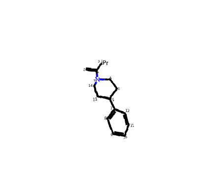 C=C(C(C)C)N1CCC(c2ccccc2)CC1